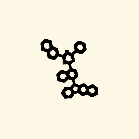 c1ccc(-c2nc(-c3ccc4ccccc4c3)nc(-c3ccc(C4c5ccccc5-c5cc6ccccc6cc54)c4ccccc34)n2)cc1